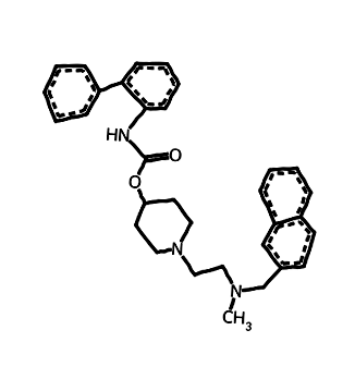 CN(CCN1CCC(OC(=O)Nc2ccccc2-c2ccccc2)CC1)Cc1ccc2ccccc2c1